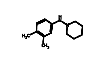 Cc1ccc(NN2CCCCC2)cc1C